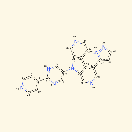 c1cc(-c2ncc(-n3c4cncc5c4c4c3cncc4n3nccc53)cn2)ccn1